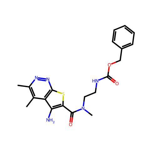 Cc1nnc2sc(C(=O)N(C)CCNC(=O)OCc3ccccc3)c(N)c2c1C